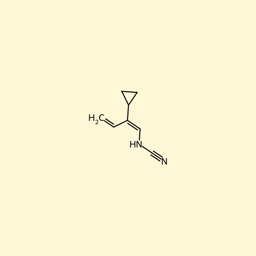 C=C/C(=C\NC#N)C1CC1